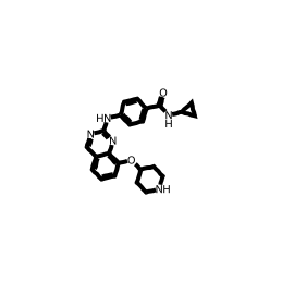 O=C(NC1CC1)c1ccc(Nc2ncc3cccc(OC4CCNCC4)c3n2)cc1